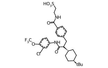 CC(C)(C)[C@H]1CC[C@@H](C(Cc2ccc(C(=O)NCCS(=O)(=O)O)cc2)C(=O)Nc2ccc(OC(F)(F)F)c(Cl)c2)CC1